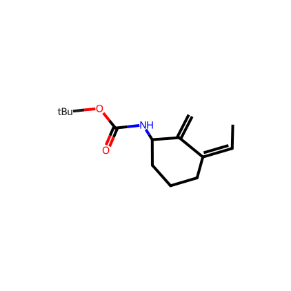 C=C1/C(=C\C)CCCC1NC(=O)OC(C)(C)C